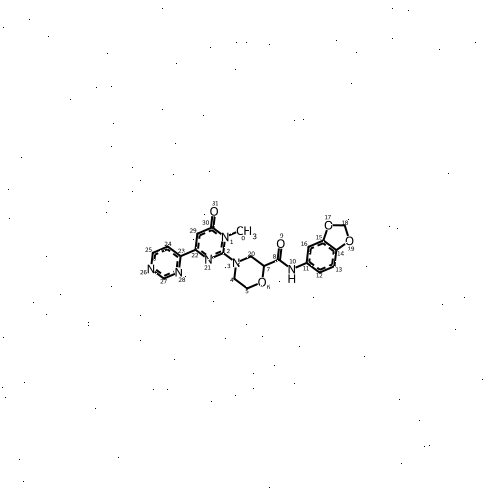 Cn1c(N2CCOC(C(=O)Nc3ccc4c(c3)OCO4)C2)nc(-c2ccncn2)cc1=O